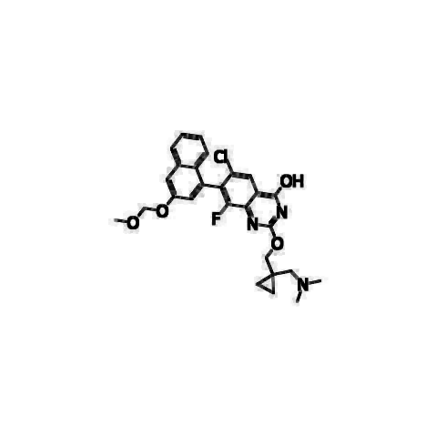 COCOc1cc(-c2c(Cl)cc3c(O)nc(OCC4(CN(C)C)CC4)nc3c2F)c2ccccc2c1